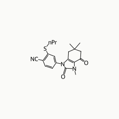 CCCSc1cc(-n2c3c(n(C)c2=O)C(=O)CC(C)(C)C3)ccc1C#N